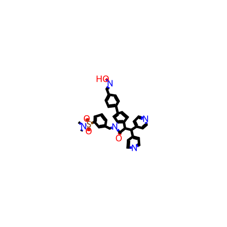 CN(C)S(=O)(=O)c1cccc(CN2C(=O)C(C(c3ccncc3)c3ccncc3)c3ccc(-c4ccc(C=NO)cc4)cc32)c1